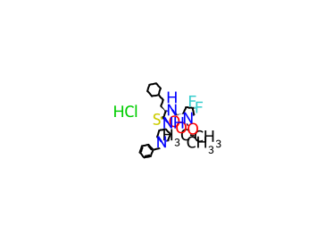 CC(C)(C)OC(=O)N1CC(F)(F)C[C@H]1C(=O)N[C@H](CCC1CCCCC1)C(=S)NC1CCN(Cc2ccccc2)CC1.Cl